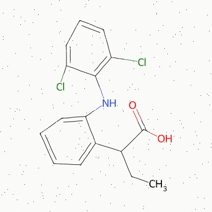 CCC(C(=O)O)c1ccccc1Nc1c(Cl)cccc1Cl